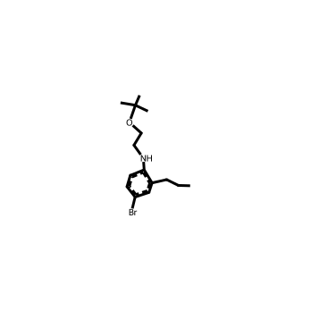 CCCc1cc(Br)ccc1NCCOC(C)(C)C